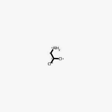 [AlH2][CH2]C(Cl)Cl